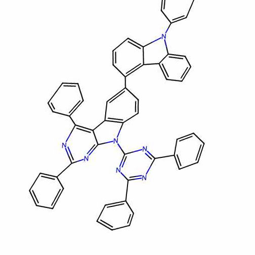 c1ccc(-c2nc(-c3ccccc3)nc(-n3c4ccc(-c5cccc6c5c5ccccc5n6-c5ccccc5)cc4c4c(-c5ccccc5)nc(-c5ccccc5)nc43)n2)cc1